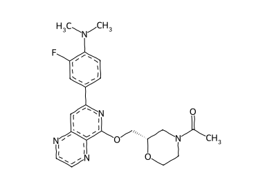 CC(=O)N1CCO[C@H](COc2nc(-c3ccc(N(C)C)c(F)c3)cc3nccnc23)C1